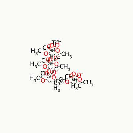 CC(C)OC1CCC(OC(C)C)(C(=O)[O-])C1=O.CC(C)OC1CCC(OC(C)C)(C(=O)[O-])C1=O.CC(C)OC1CCC(OC(C)C)(C(=O)[O-])C1=O.CC(C)OC1CCC(OC(C)C)(C(=O)[O-])C1=O.[Ti+4]